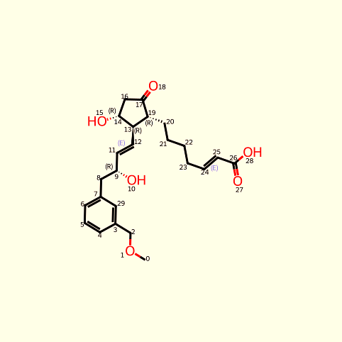 COCc1cccc(C[C@@H](O)/C=C/[C@H]2[C@H](O)CC(=O)[C@@H]2CCCC/C=C/C(=O)O)c1